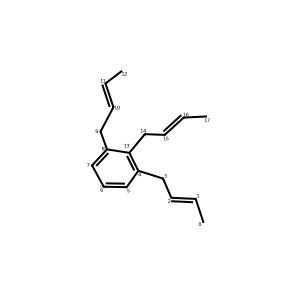 CC=CCc1c[c]cc(CC=CC)c1CC=CC